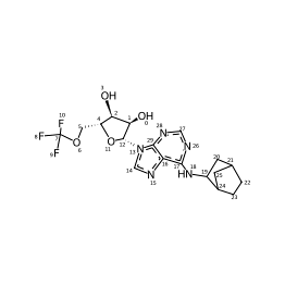 O[C@@H]1[C@H](O)[C@@H](COC(F)(F)F)O[C@H]1n1cnc2c(NC3CC4CCC3C4)ncnc21